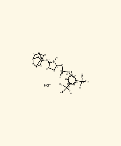 CN1C(=NC23CC4CC(CC(C4)C2)C3)SCC1CC(=O)Nc1cc(C(F)(F)F)cc(C(F)(F)F)c1.Cl